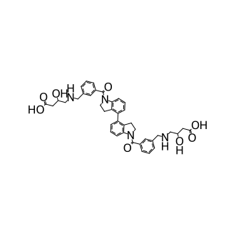 O=C(O)CC(O)CNCc1cccc(C(=O)N2CCc3c(-c4cccc5c4CCN5C(=O)c4cccc(CNCC(O)CC(=O)O)c4)cccc32)c1